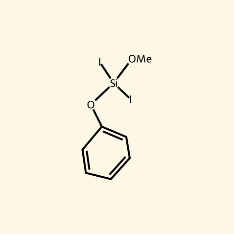 CO[Si](I)(I)Oc1ccccc1